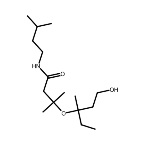 CCC(C)(CCO)OC(C)(C)CC(=O)NCCC(C)C